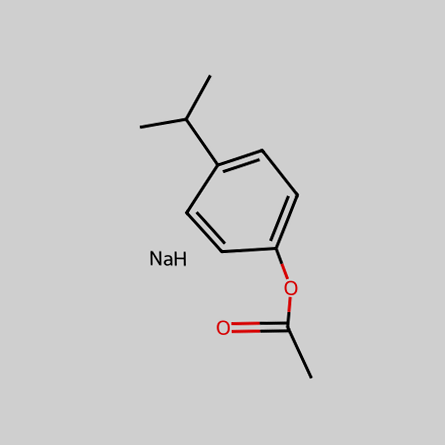 CC(=O)Oc1ccc(C(C)C)cc1.[NaH]